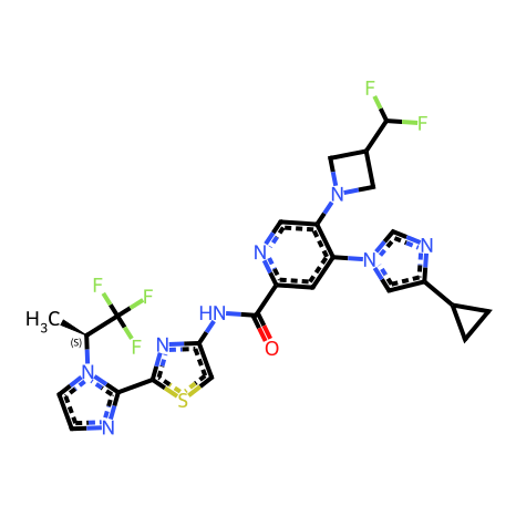 C[C@H](n1ccnc1-c1nc(NC(=O)c2cc(-n3cnc(C4CC4)c3)c(N3CC(C(F)F)C3)cn2)cs1)C(F)(F)F